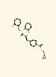 O=C(NCC1CC1)c1ccc(/C=C2\Sc3ccccc3N(Cc3ccccc3F)C2=O)cc1